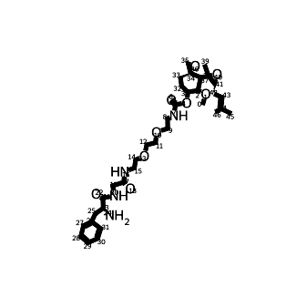 COC1C(OC(=O)NCCOCCOCCNC(=O)CNC(=O)[C@@H](N)Cc2ccccc2)CC[C@]2(CO2)C1C1(C)O[C@@H]1CC=C(C)C